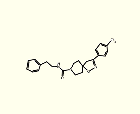 O=C(NCCc1ccccc1)N1CCC2(CC1)CC(c1ccc(C(F)(F)F)cc1)=NO2